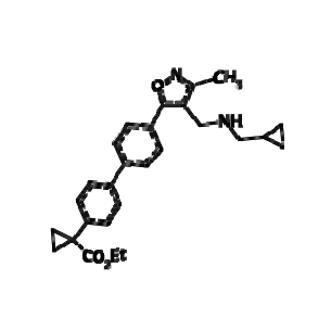 CCOC(=O)C1(c2ccc(-c3ccc(-c4onc(C)c4CNCC4CC4)cc3)cc2)CC1